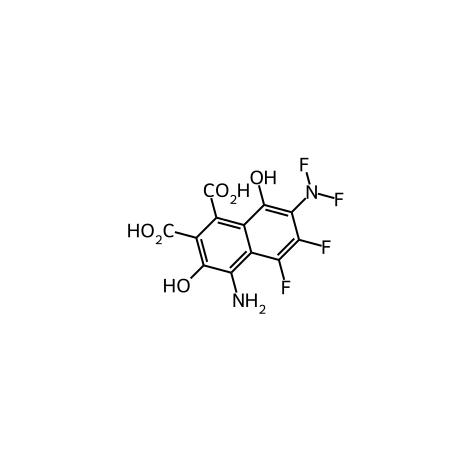 Nc1c(O)c(C(=O)O)c(C(=O)O)c2c(O)c(N(F)F)c(F)c(F)c12